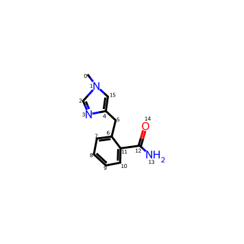 Cn1cnc(Cc2ccccc2C(N)=O)c1